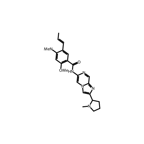 C/C=C/c1cc(C(=O)Nc2cn3cc(C4CCCN4C)nc3cn2)c(OC)cc1NC